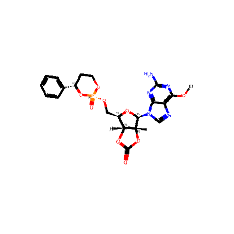 CCOc1nc(N)nc2c1ncn2[C@@H]1O[C@H](CO[P@@]2(=O)OCC[C@@H](c3ccccc3)O2)[C@H]2OC(=O)O[C@]21C